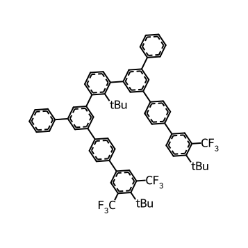 CC(C)(C)c1ccc(-c2ccc(-c3cc(-c4ccccc4)cc(-c4cccc(-c5cc(-c6ccccc6)cc(-c6ccc(-c7cc(C(F)(F)F)c(C(C)(C)C)c(C(F)(F)F)c7)cc6)c5)c4C(C)(C)C)c3)cc2)cc1C(F)(F)F